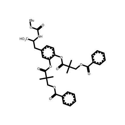 CC(C)(C)OC(=O)NC(Cc1ccc(OC(=O)C(C)(C)COC(=O)c2ccccc2)c(OC(=O)C(C)(C)COC(=O)c2ccccc2)c1)C(=O)O